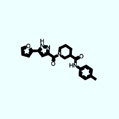 Cc1ccc(NC(=O)C2CCCN(C(=O)c3cc(-c4ccco4)[nH]n3)C2)cc1